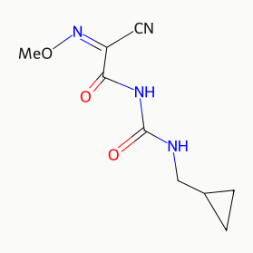 CO/N=C(/C#N)C(=O)NC(=O)NCC1CC1